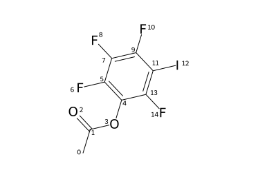 CC(=O)Oc1c(F)c(F)c(F)c(I)c1F